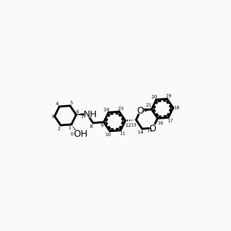 O[C@@H]1CCCC[C@H]1NCc1ccc([C@H]2COc3ccccc3O2)cc1